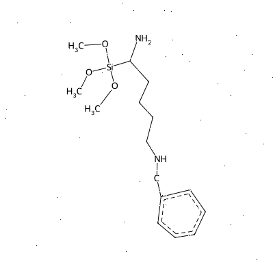 CO[Si](OC)(OC)C(N)CCCCNCc1ccccc1